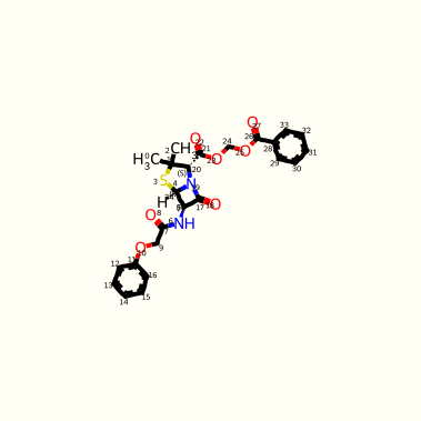 CC1(C)S[C@@H]2[C@H](NC(=O)COc3ccccc3)C(=O)N2[C@H]1C(=O)OCOC(=O)c1ccccc1